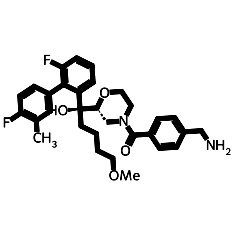 COCCCC[C@](O)(c1cccc(F)c1-c1ccc(F)c(C)c1)[C@H]1CN(C(=O)c2ccc(CN)cc2)CCO1